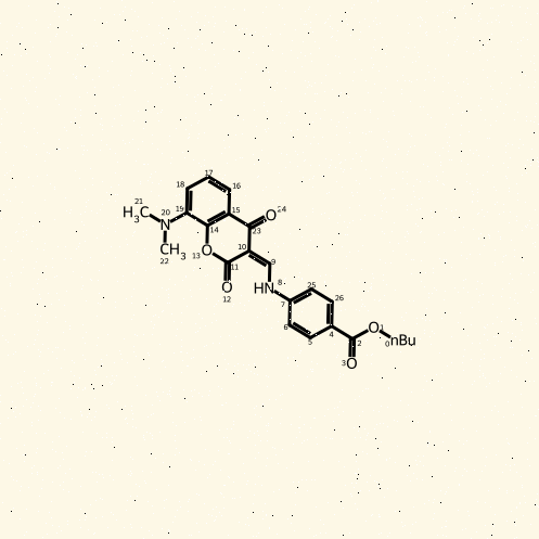 CCCCOC(=O)c1ccc(NC=C2C(=O)Oc3c(cccc3N(C)C)C2=O)cc1